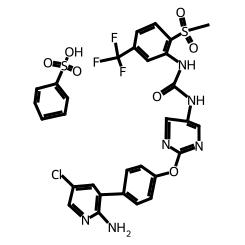 CS(=O)(=O)c1ccc(C(F)(F)F)cc1NC(=O)Nc1cnc(Oc2ccc(-c3cc(Cl)cnc3N)cc2)nc1.O=S(=O)(O)c1ccccc1